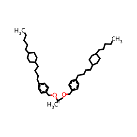 CCCCCC1CCC(CCCCc2ccc(COC[C@@H](C)OCc3ccc(CCCCC4CCC(CCCCC)CC4)cc3)cc2)CC1